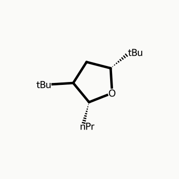 CCC[C@H]1O[C@@H](C(C)(C)C)CC1C(C)(C)C